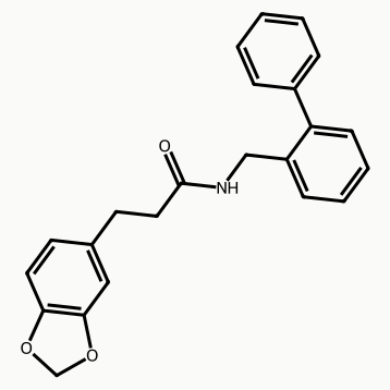 O=C(CCc1ccc2c(c1)OCO2)NCc1ccccc1-c1ccccc1